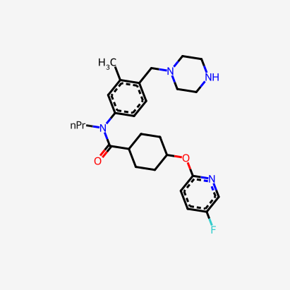 CCCN(C(=O)C1CCC(Oc2ccc(F)cn2)CC1)c1ccc(CN2CCNCC2)c(C)c1